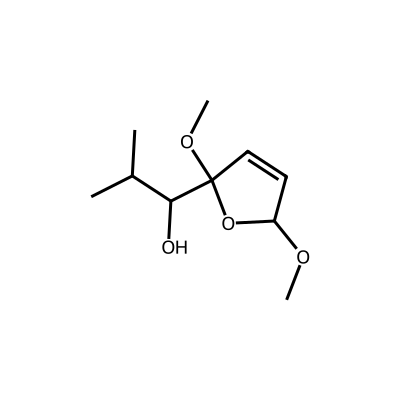 COC1C=CC(OC)(C(O)C(C)C)O1